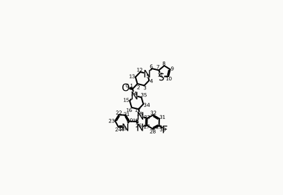 O=C(C1CCN(CC2CC=CS2)CC1)N1CCC(n2c(-c3ccccn3)nc3cc(F)ccc32)CC1